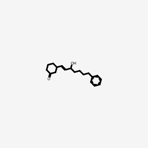 O=C1CCCC(C=CC(O)CCCCc2ccccc2)C1